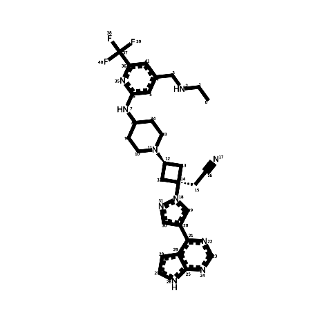 CCNCc1cc(NC2CCN([C@H]3C[C@@](CC#N)(n4cc(-c5ncnc6[nH]ccc56)cn4)C3)CC2)nc(C(F)(F)F)c1